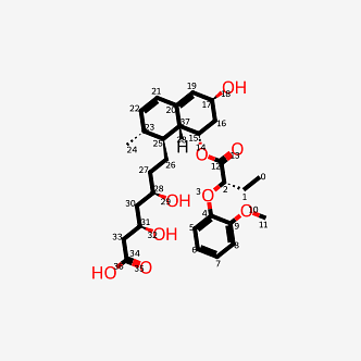 CC[C@H](Oc1ccccc1OC)C(=O)O[C@H]1C[C@H](O)C=C2C=C[C@@H](C)[C@H](CC[C@@H](O)C[C@@H](O)CC(=O)O)[C@H]21